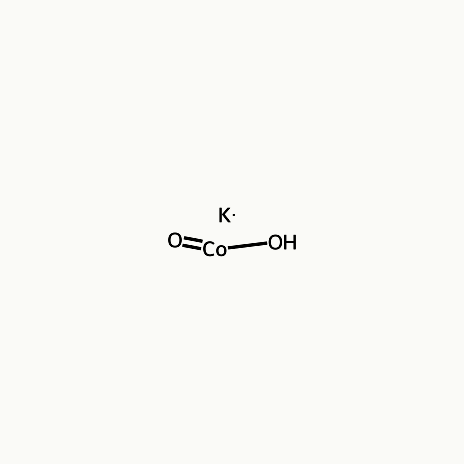 [K].[O]=[Co][OH]